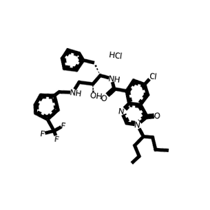 CCCC(CCC)n1cnc2c(C(=O)N[C@@H](Cc3ccccc3)[C@H](O)CNCc3cccc(C(F)(F)F)c3)cc(Cl)cc2c1=O.Cl